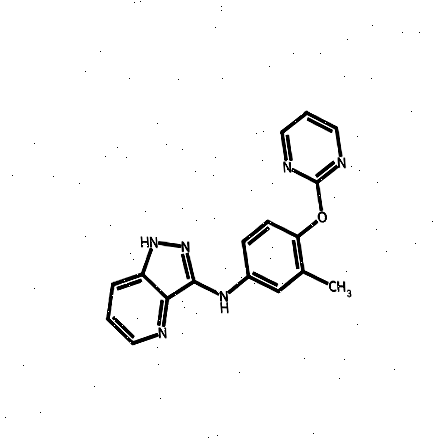 Cc1cc(Nc2n[nH]c3cccnc23)ccc1Oc1ncccn1